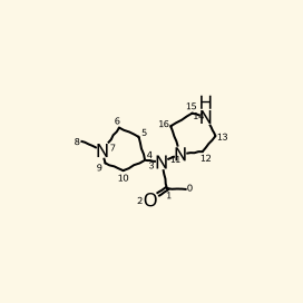 CC(=O)N(C1CCN(C)CC1)N1CCNCC1